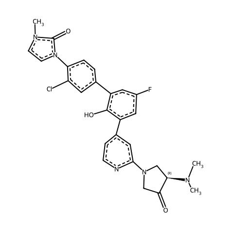 CN(C)[C@@H]1CN(c2cc(-c3cc(F)cc(-c4ccc(-n5ccn(C)c5=O)c(Cl)c4)c3O)ccn2)CC1=O